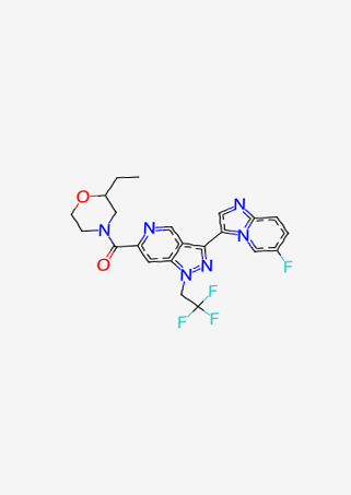 CCC1CN(C(=O)c2cc3c(cn2)c(-c2cnc4ccc(F)cn24)nn3CC(F)(F)F)CCO1